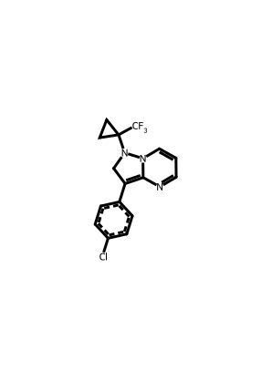 FC(F)(F)C1(N2CC(c3ccc(Cl)cc3)=C3N=CC=CN32)CC1